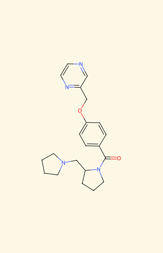 O=C(c1ccc(OCc2cnccn2)cc1)N1CCCC1CN1CCCC1